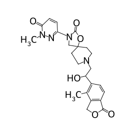 Cc1c(C(O)CN2CCC3(CC2)CN(c2ccc(=O)n(C)n2)C(=O)O3)ccc2c1COC2=O